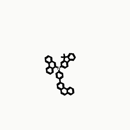 CC1(C)c2ccccc2-c2ccc(N(c3ccc(-c4ccc5ccc6ccccc6c5c4)cc3)c3cc4ccccc4c4ccccc34)cc21